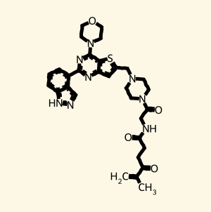 C=C(C)C(=O)CCC(=O)NCC(=O)N1CCN(Cc2cc3nc(-c4cccc5[nH]ncc45)nc(N4CCOCC4)c3s2)CC1